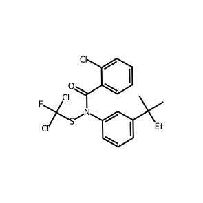 CCC(C)(C)c1cccc(N(SC(F)(Cl)Cl)C(=O)c2ccccc2Cl)c1